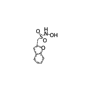 O=S(=O)(Cc1cc2ccccc2o1)NO